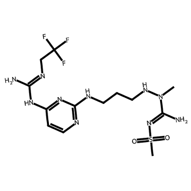 CN(NCCCNc1nccc(NC(N)=NCC(F)(F)F)n1)C(N)=NS(C)(=O)=O